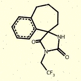 O=C1NC2(CCCCc3ccccc32)C(=O)N1CC(F)(F)F